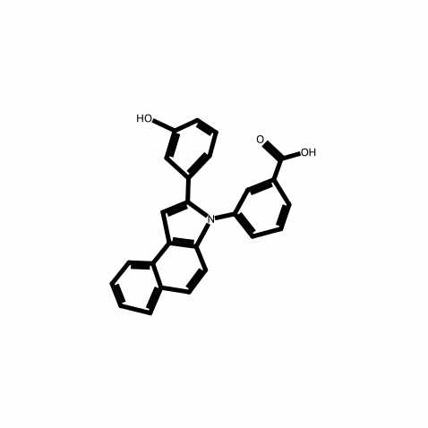 O=C(O)c1cccc(-n2c(-c3cccc(O)c3)cc3c4ccccc4ccc32)c1